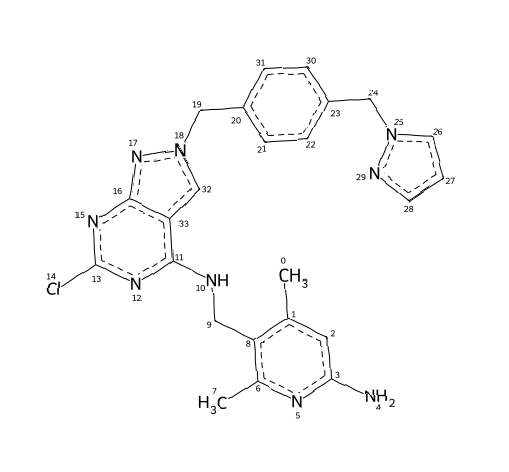 Cc1cc(N)nc(C)c1CNc1nc(Cl)nc2nn(Cc3ccc(Cn4cccn4)cc3)cc12